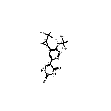 [2H]C([2H])([2H])Oc1nnc(-c2c[nH]c(=O)[nH]c2=O)cc1C1CC1C(F)(F)F